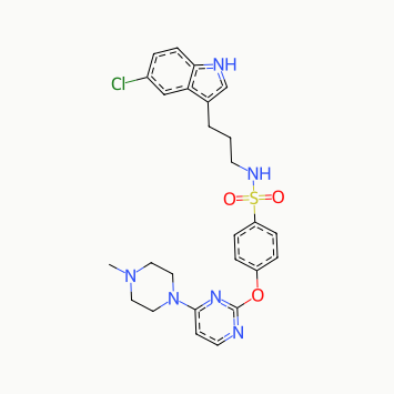 CN1CCN(c2ccnc(Oc3ccc(S(=O)(=O)NCCCc4c[nH]c5ccc(Cl)cc45)cc3)n2)CC1